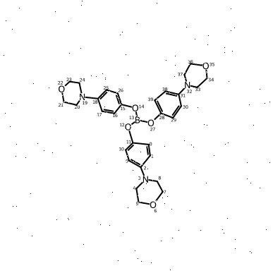 c1cc(N2CCOCC2)ccc1OB(Oc1ccc(N2CCOCC2)cc1)Oc1ccc(N2CCOCC2)cc1